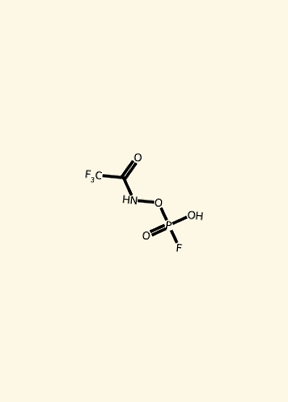 O=C(NOP(=O)(O)F)C(F)(F)F